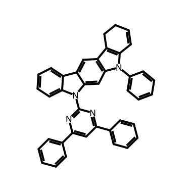 C1=Cc2c(c3cc4c5ccccc5n(-c5nc(-c6ccccc6)cc(-c6ccccc6)n5)c4cc3n2-c2ccccc2)CC1